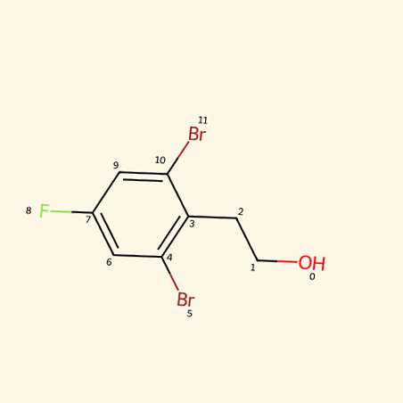 OCCc1c(Br)cc(F)cc1Br